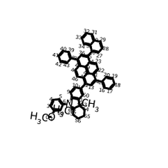 COc1cccc(N2c3ccc(-c4cc(-c5ccccc5)c5ccc6c(-c7cccc8ccccc78)cc(-c7ccccc7)c7ccc4c5c76)cc3C3(C)CCCCC23C)c1